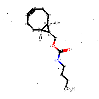 O=C(O)CCCNC(=O)OC[C@@H]1[C@@H]2CCC#CCC[C@@H]21